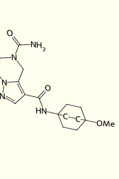 COC12CCC(NC(=O)c3cnn4c3CN(C(N)=O)CC4)(CC1)CC2